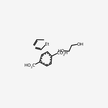 C=CC.C=CCC.O=C(O)c1ccc(C(=O)O)cc1.OCCO